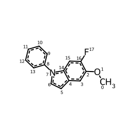 COc1cc2ccn(-c3ccccc3)c2cc1F